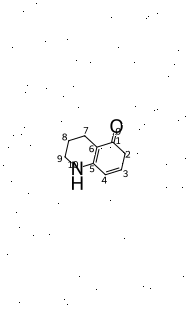 O=C1CC=CC2=C1CCCN2